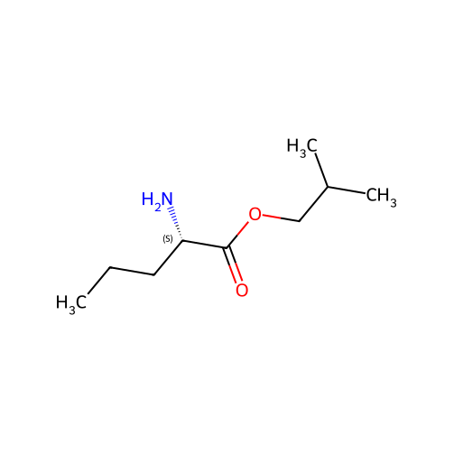 CCC[C@H](N)C(=O)OCC(C)C